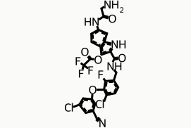 N#Cc1cc(Cl)cc(Oc2c(Cl)ccc(CNC(=O)c3[nH]c4cc(NC(=O)CN)ccc4c3OC(=O)C(F)(F)F)c2F)c1